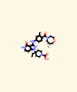 CCC1(n2nc(Nc3ccc(C(=O)N4CCOC[C@H](C)C4)c(C)c3)c3c(=O)[nH]ccc32)CCN(C(=O)O)CC1